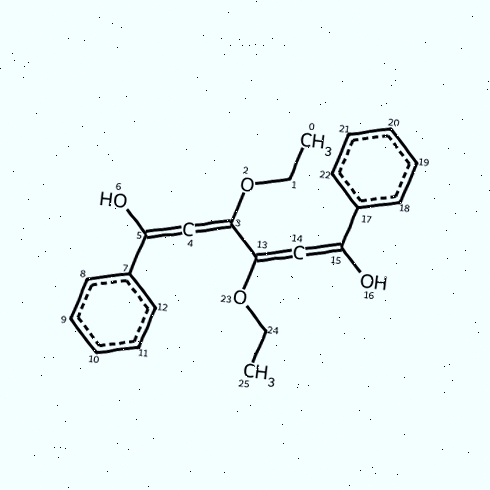 CCOC(=C=C(O)c1ccccc1)C(=C=C(O)c1ccccc1)OCC